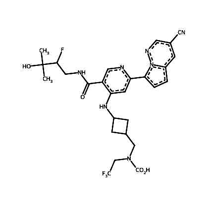 CC(C)(O)C(F)CNC(=O)c1cnc(-c2ccc3cc(C#N)cnn23)cc1NC1CC(CN(CC(F)(F)F)C(=O)O)C1